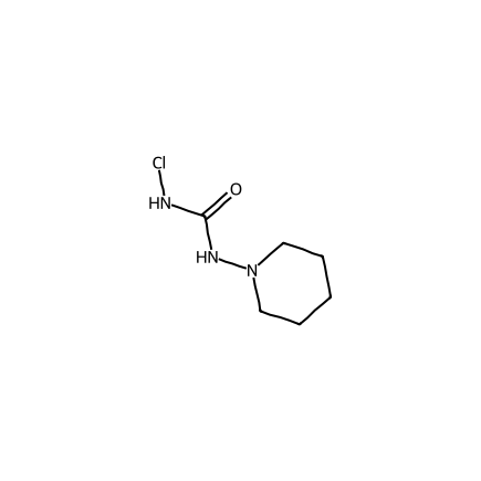 O=C(NCl)NN1CCCCC1